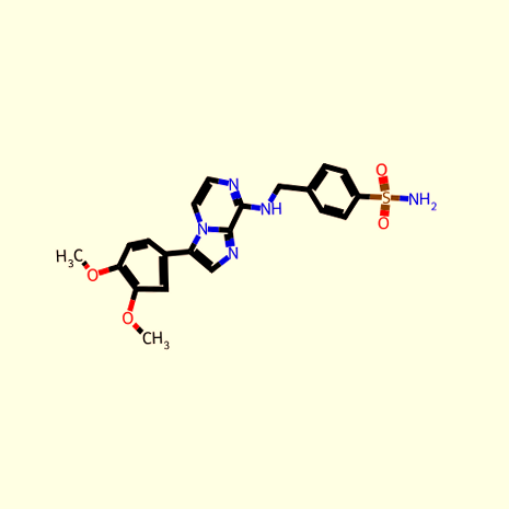 COc1ccc(-c2cnc3c(NCc4ccc(S(N)(=O)=O)cc4)nccn23)cc1OC